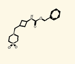 O=C(NC1CC(CN2CCS(=O)(=O)CC2)C1)OCc1ccccc1